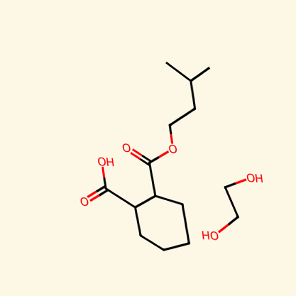 CC(C)CCOC(=O)C1CCCCC1C(=O)O.OCCO